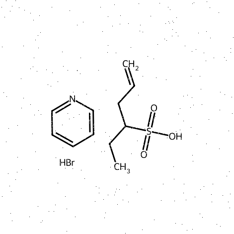 Br.C=CCC(CC)S(=O)(=O)O.c1ccncc1